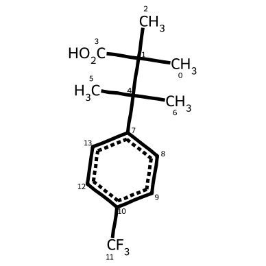 CC(C)(C(=O)O)C(C)(C)c1ccc(C(F)(F)F)cc1